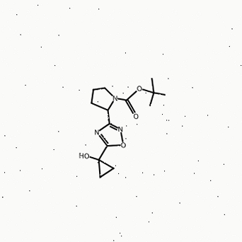 CC(C)(C)OC(=O)N1CCCC1c1noc(C2(O)CC2)n1